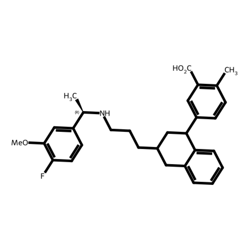 COc1cc([C@@H](C)NCCCC2Cc3ccccc3C(c3ccc(C)c(C(=O)O)c3)C2)ccc1F